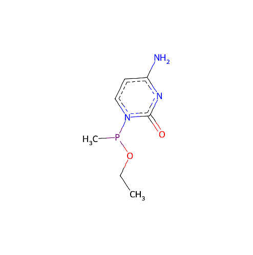 CCOP(C)n1ccc(N)nc1=O